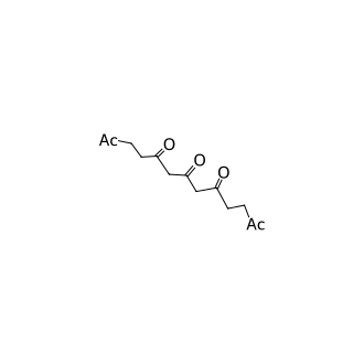 CC(=O)CCC(=O)CC(=O)CC(=O)CCC(C)=O